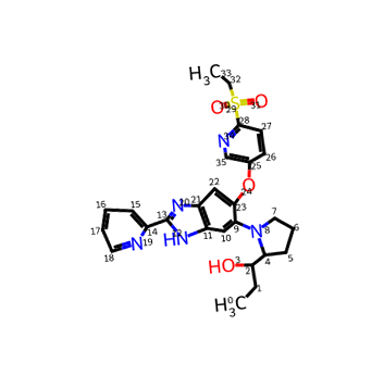 CCC(O)C1CCCN1c1cc2[nH]c(-c3ccccn3)nc2cc1Oc1ccc(S(=O)(=O)CC)nc1